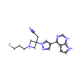 N#CCC1(n2cc(-c3ncnc4[nH]ccc34)cn2)CN(CCCF)C1